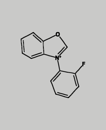 Fc1ccccc1-[n+]1coc2ccccc21